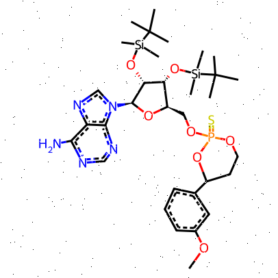 COc1cccc(C2CCOP(=S)(OC[C@H]3O[C@@H](n4cnc5c(N)ncnc54)[C@H](O[Si](C)(C)C(C)(C)C)[C@@H]3O[Si](C)(C)C(C)(C)C)O2)c1